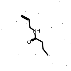 [CH2]CCC(=O)NCC=C